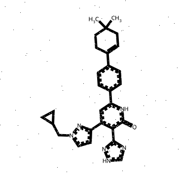 CC1(C)CC=C(c2ccc(-c3cc(-c4ccn(CC5CC5)n4)c(-c4nc[nH]n4)c(=O)[nH]3)cc2)CC1